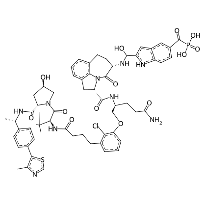 Cc1ncsc1-c1ccc([C@H](C)NC(=O)[C@@H]2C[C@@H](O)CN2C(=O)[C@@H](NC(=O)CCCc2cccc(OC[C@H](CCC(N)=O)NC(=O)[C@@H]3Cc4cccc5c4N3C(=O)[C@@H](NC(O)c3cc4cc(C(=O)P(=O)(O)O)ccc4[nH]3)CC5)c2Cl)C(C)(C)C)cc1